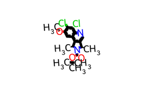 COc1cc2c3c(cnc2c(Cl)c1Cl)[C@@H](C)N(C(=O)OC(C)(C)C)[C@H]3C